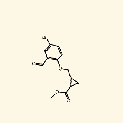 COC(=O)C1CC1COc1ccc(Br)cc1C=O